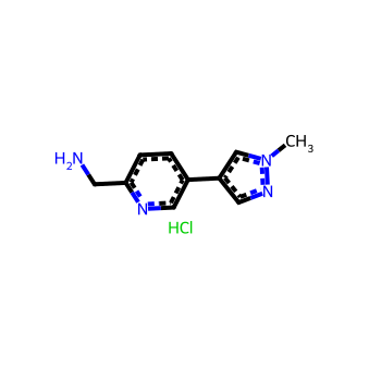 Cl.Cn1cc(-c2ccc(CN)nc2)cn1